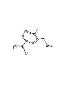 COCc1cc(B(O)O)cnc1C